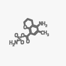 Cc1cc(C(=O)OS(N)(=O)=O)c2c(c1N)CCCO2